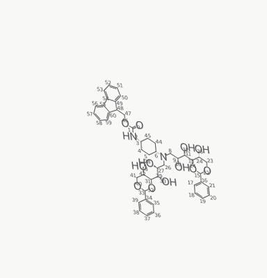 O=C(N[C@H]1CC[C@@H](N(C[C@H](O)[C@@H](O)[C@@H]2OC(c3ccccc3)OC[C@H]2O)C[C@H](O)[C@@H](O)C2OC(c3ccccc3)OC[C@H]2O)CC1)OCC1c2ccccc2-c2ccccc21